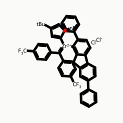 CCCC1C=C(C(C)(C)C)C=[C]1[Zr+2](=[C](c1ccc(C(F)(F)F)cc1)c1ccc(C(F)(F)F)cc1)[c]1c(-c2ccccc2)ccc2c1Cc1cc(-c3ccccc3)ccc1-2.[Cl-].[Cl-]